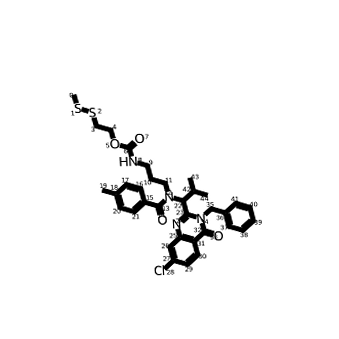 CSSCCOC(=O)NCCCN(C(=O)c1ccc(C)cc1)C(c1nc2cc(Cl)ccc2c(=O)n1Cc1ccccc1)C(C)C